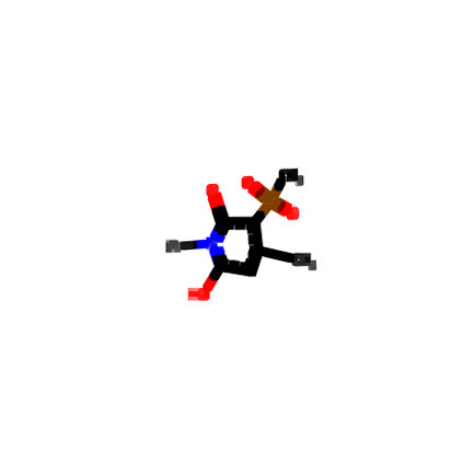 Cc1cc(O)n(C(C)C)c(=O)c1S(C)(=O)=O